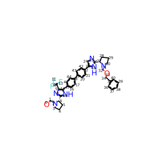 O=[C]N1CCC[C@H]1c1nc(C(F)(F)F)c(-c2ccc(-c3ccc(-c4cnc([C@@H]5CCCN5COCc5ccccc5)[nH]4)cc3)cc2)[nH]1